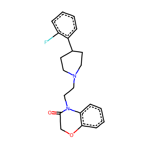 O=C1COc2ccccc2N1CCN1CCC(c2ccccc2F)CC1